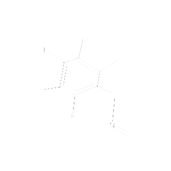 O=NOc1c(F)c(F)c(F)c(F)c1F